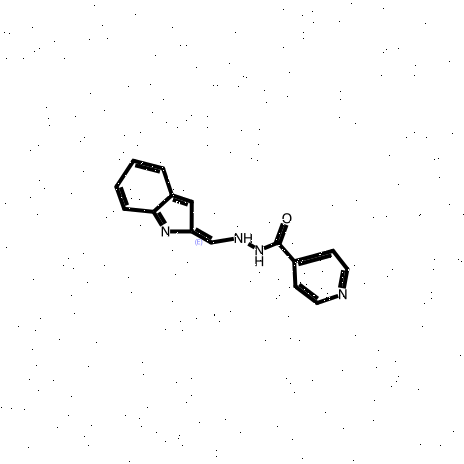 O=C(NN/C=C1\C=c2ccccc2=N1)c1ccncc1